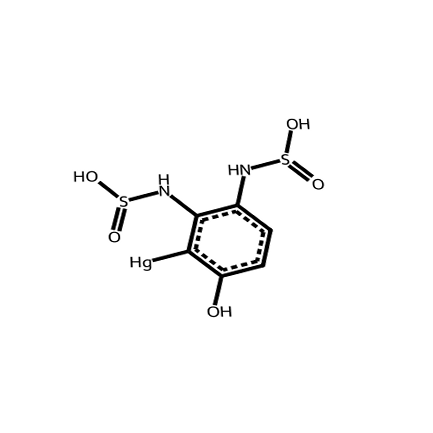 O=S(O)Nc1ccc(O)[c]([Hg])c1NS(=O)O